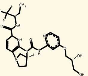 CC[C@@H](NC(=O)C1C=CC2=C(N1)N(C(=O)Nc1cc(OC[C@H](O)CO)ccn1)[C@H]1CCN2C1)C(F)(F)F